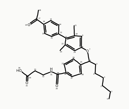 CCCCCCC(Oc1cc(C)c(-c2ccc(C(C)=O)cc2)c(C)c1)c1ccc(C(=O)NCCC(=O)O)cc1